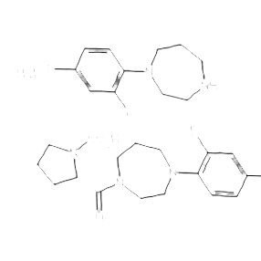 Cl.Fc1ccc(N2CCCNCC2)c(F)c1.O=C([C@@H]1CCCN1C(=O)O)N1CCCN(c2ccc(F)cc2F)CC1